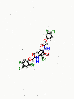 O=C(COc1ccc(Cl)c(F)c1)NC12CCC(NC(=O)COc3cc(F)c(Cl)cc3Br)(CC1)C(Br)C2=O